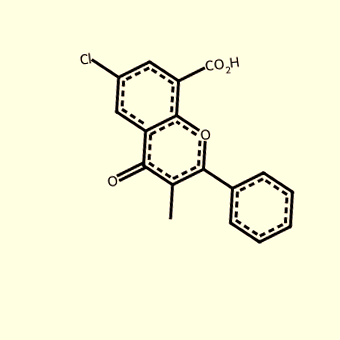 Cc1c(-c2ccccc2)oc2c(C(=O)O)cc(Cl)cc2c1=O